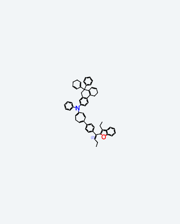 CC/C=C(/c1ccc(C2=CCC=C(N(c3ccccc3)c3ccc4c(c3)CC(C3=CCCC=C3)(c3ccccc3)C3=C4CCC=C3)C=C2)cc1)c1oc2ccccc2c1CC